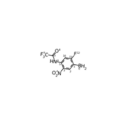 Bc1cc([N+](=O)[O-])c(NC(=O)C(F)(F)F)cc1F